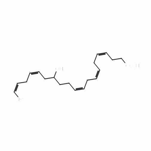 CC/C=C\C/C=C\CC(O)CC/C=C\C/C=C\C/C=C\CCC(=O)O